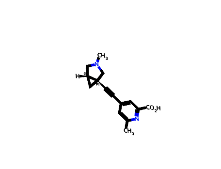 Cc1cc(C#C[C@@]23C[C@@H]2CN(C)C3)cc(C(=O)O)n1